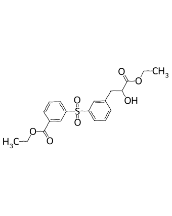 CCOC(=O)c1cccc(S(=O)(=O)c2cccc(CC(O)C(=O)OCC)c2)c1